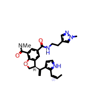 C=C(c1cc[nH]c1/C=C\C)[C@H]1COc2c(C(=O)NC)cc(C(=O)NCCc3cnn(C)c3)cc21